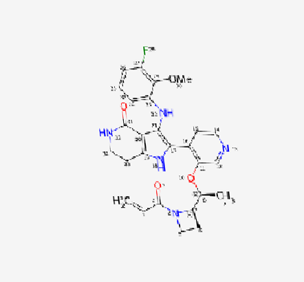 C=CC(=O)N1CC[C@@H]1[C@H](C)Oc1cnccc1-c1[nH]c2c(c1Nc1cccc(F)c1OC)C(=O)NCC2